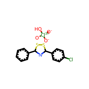 Clc1ccc(C2[N]C(c3ccccc3)SS2)cc1.[O-][Cl+3]([O-])([O-])O